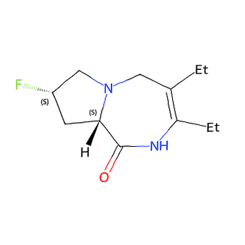 CCC1=C(CC)NC(=O)[C@@H]2C[C@H](F)CN2C1